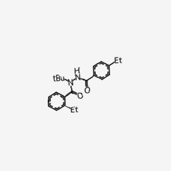 CCc1ccc(C(=O)NN(C(=O)c2ccccc2CC)C(C)(C)C)cc1